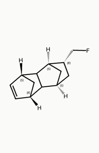 FC[C@@H]1C[C@@H]2C[C@H]1C1C2[C@@H]2C=C[C@H]1C2